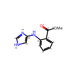 COC(=O)c1ccccc1Nc1c[nH]cn1